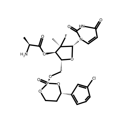 C[C@H](N)C(=O)O[C@@H]1[C@@H](CO[P@@]2(=O)OCC[C@@H](c3cccc(Cl)c3)O2)O[C@@H](n2ccc(=O)[nH]c2=O)[C@]1(C)F